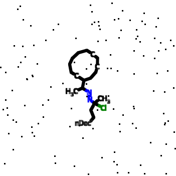 CCCCCCCCCCCCC(C)(Cl)/N=N/C(C)C1CCCCCCCCCCC1